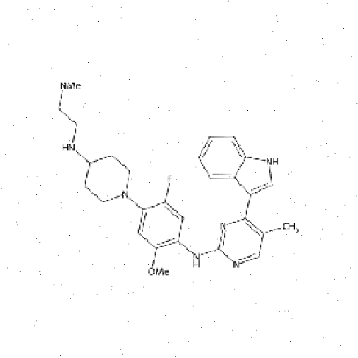 CNCCNC1CCN(c2cc(OC)c(Nc3ncc(C)c(-c4c[nH]c5ccccc45)n3)cc2F)CC1